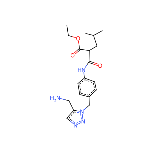 CCOC(=O)C(CC(C)C)C(=O)Nc1ccc(Cn2nncc2CN)cc1